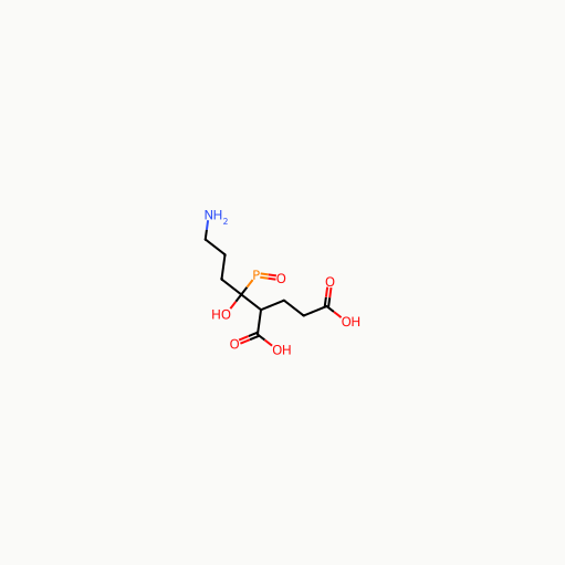 NCCCC(O)(P=O)C(CCC(=O)O)C(=O)O